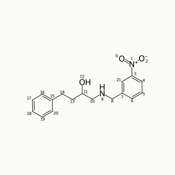 O=[N+]([O-])c1cccc(CNCC(O)[CH]Cc2ccccc2)c1